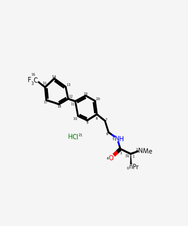 CCC[C@H](NC)C(=O)NCCc1ccc(-c2ccc(C(F)(F)F)cc2)cc1.Cl